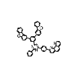 c1ccc(-c2nc(-c3ccc(-c4ccc5ccc6cccnc6c5n4)cc3)nc(-c3cc(-c4ccc5oc6ccccc6c5c4)cc(-c4ccc5oc6ccccc6c5c4)c3)n2)cc1